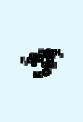 C=C(c1cc(NC(=O)c2cc(C#N)ccn2)ccc1N(C)C)C1CCN(C(=O)C(O)C(F)(F)F)CC1